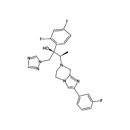 C[C@@H](N1CCn2cc(-c3cccc(F)c3)nc2C1)[C@](O)(Cn1cncn1)c1ccc(F)cc1F